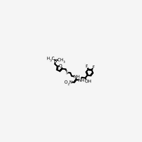 CN(C)Cc1ccc(CSCCNC(=C[N+](=O)[O-])NCC(O)c2ccc(F)c(F)c2)o1